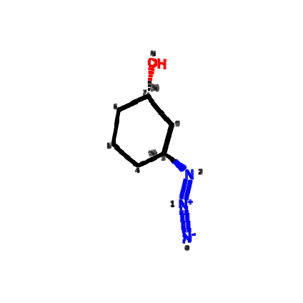 [N-]=[N+]=N[C@H]1CCC[C@H](O)C1